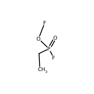 CCP(=O)(F)OF